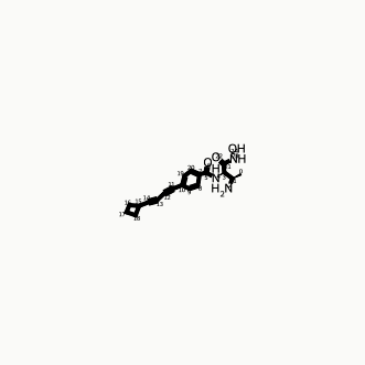 C[C@@H](N)[C@H](NC(=O)c1ccc(C#CC#CC2CCC2)cc1)C(=O)NO